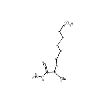 CC(C)(C)C(CCCCCCC(=O)O)C(=O)OO